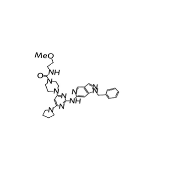 COCCNC(=O)N1CCN(c2cc(N3CCCC3)nc(Nc3cc4c(cn3)cnn4Cc3ccccc3)n2)CC1